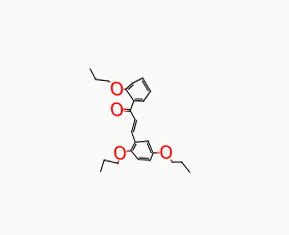 CCCOc1ccc(OCCC)c(C=CC(=O)c2ccccc2OCCC)c1